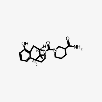 CC1(C)[C@H]2Cc3c(O)cccc3[C@]1(C)CCN2C(=O)N1CCCC(C(N)=O)C1